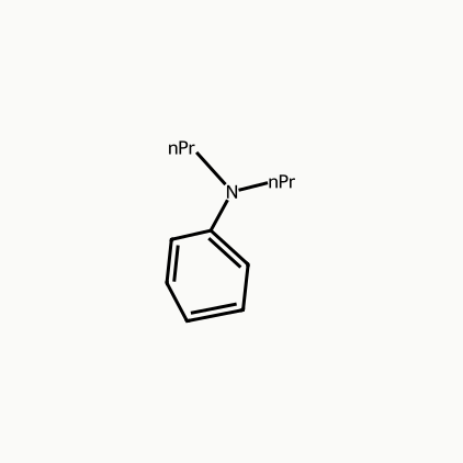 CCCN(CCC)c1ccccc1